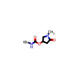 CN1CC(OC(=O)NC(C)(C)C)CC1=O